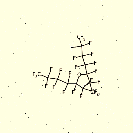 FC(F)(F)C(F)(F)C(F)(F)C(F)(F)C(F)(OC(F)(C(F)(F)C(F)(F)F)C(F)(F)C(F)(F)C(F)(F)C(F)(F)F)C(F)(F)C(F)(F)F